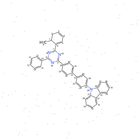 CC1CC=CC=C1c1nc(-c2ccccc2)nc(-c2ccc(-c3ccc(-n4c5ccccc5c5ccccc54)cc3)cc2)n1